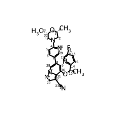 C[C@@H]1CN(c2ccc(-c3cc(O[C@H](C)c4ccc(F)cn4)c4c(C#N)cnn4c3)cn2)C[C@H](C)O1